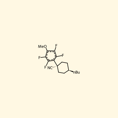 CCCC[C@H]1CC[C@@](C#N)(c2c(F)c(F)c(OC)c(F)c2F)CC1